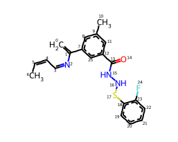 C=C(/N=C\C=C/C)c1cc(C)cc(C(=O)NNSc2ccccc2F)c1